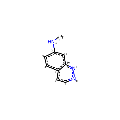 CC(C)Nc1ccc2ccnnc2c1